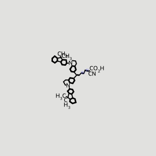 CC1(C)c2ccccc2-c2ccc(N3CCCc4cc(C(=C/C=C/C=C(\C#N)C(=O)O)c5ccc6c(c5)CCCN6c5ccc6c(c5)C(C)(C)c5ccccc5-6)ccc43)cc21